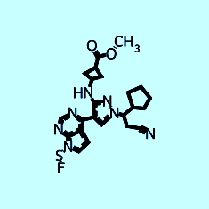 COC(=O)C1CC(Nc2nn(C(CC#N)C3CCCC3)cc2-c2ncnc3c2ccn3SF)C1